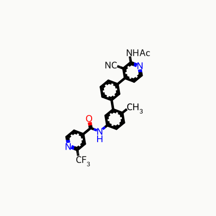 CC(=O)Nc1nccc(-c2cccc(-c3cc(NC(=O)c4ccnc(C(F)(F)F)c4)ccc3C)c2)c1C#N